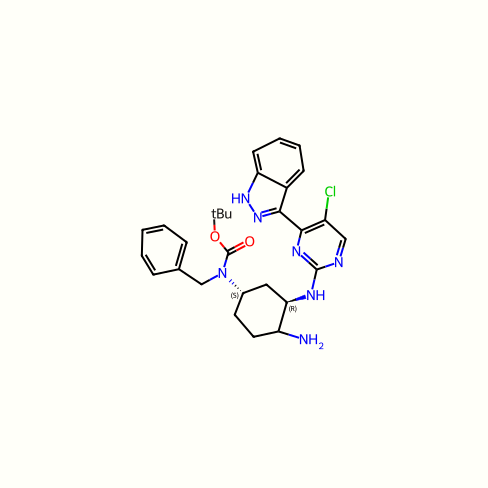 CC(C)(C)OC(=O)N(Cc1ccccc1)[C@H]1CCC(N)[C@H](Nc2ncc(Cl)c(-c3n[nH]c4ccccc34)n2)C1